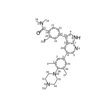 Cc1cc(-c2cnc3[nH]cc(-c4ccc(C(=O)N(C)C)c(F)c4)c3c2)cc(C)c1N1CCN(C)CC1